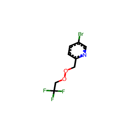 FC(F)(F)COOCc1ccc(Br)cn1